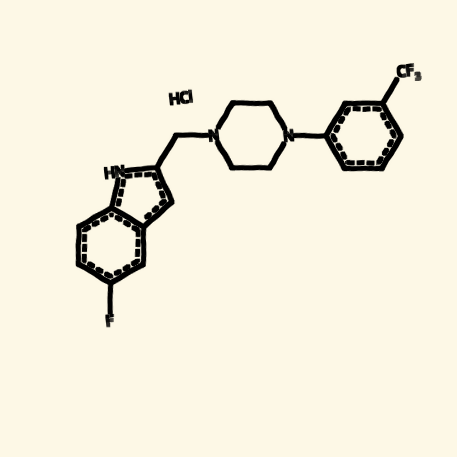 Cl.Fc1ccc2[nH]c(CN3CCN(c4cccc(C(F)(F)F)c4)CC3)cc2c1